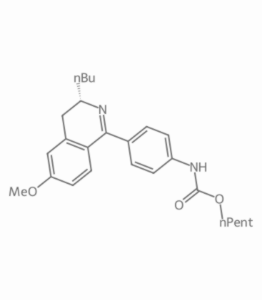 CCCCCOC(=O)Nc1ccc(C2=N[C@@H](CCCC)Cc3cc(OC)ccc32)cc1